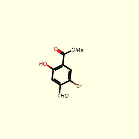 COC(=O)c1cc(Br)c(C=O)cc1O